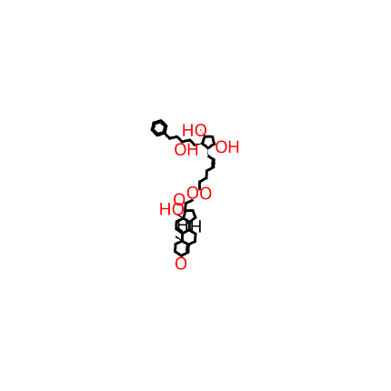 C[C@]12CCC(=O)C=C1CC[C@@H]1C2=CC[C@@]2(C)[C@H]1CC[C@]2(O)C(=O)COC(=O)CCC/C=C\C[C@@H]1[C@@H](CC[C@@H](O)CCc2ccccc2)[C@H](O)C[C@@H]1O